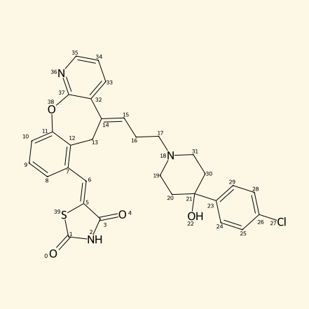 O=C1NC(=O)C(=Cc2cccc3c2CC(=CCCN2CCC(O)(c4ccc(Cl)cc4)CC2)c2cccnc2O3)S1